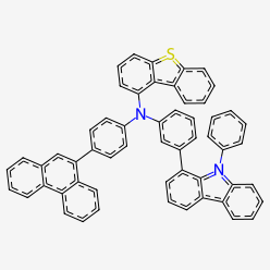 c1ccc(-n2c3ccccc3c3cccc(-c4cccc(N(c5ccc(-c6cc7ccccc7c7ccccc67)cc5)c5cccc6sc7ccccc7c56)c4)c32)cc1